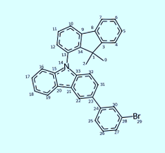 CC1(C)c2ccccc2-c2cccc(-n3c4ccccc4c4cc(-c5cccc(Br)c5)ccc43)c21